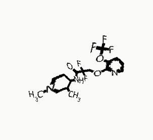 CC1CN(C)CCC1NC(=O)C(F)(F)COc1ncccc1OC(F)(F)F